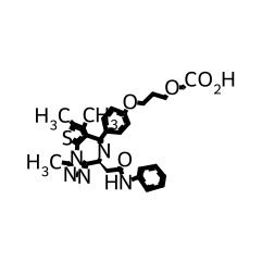 Cc1sc2c(c1C)C(c1ccc(OCCCOCC(=O)O)cc1)=N[C@@H](CC(=O)Nc1ccccc1)c1nnc(C)n1-2